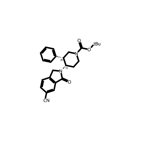 CC(C)(C)OC(=O)N1CC[C@H](N2Cc3ccc(C#N)cc3C2=O)[C@H](c2ccccc2)C1